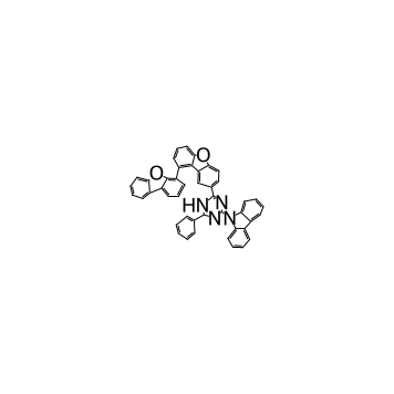 c1ccc(C2N=C(n3c4ccccc4c4ccccc43)N=C(c3ccc4oc5cccc(-c6cccc7c6oc6ccccc67)c5c4c3)N2)cc1